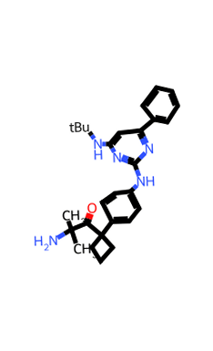 CC(C)(C)Nc1cc(-c2ccccc2)nc(Nc2ccc(C3(C(=O)C(C)(C)N)CCC3)cc2)n1